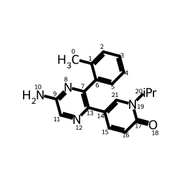 Cc1ccccc1-c1nc(N)cnc1-c1ccc(=O)n(C(C)C)c1